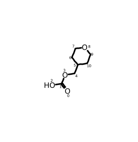 O=C(O)OCC1CCOCC1